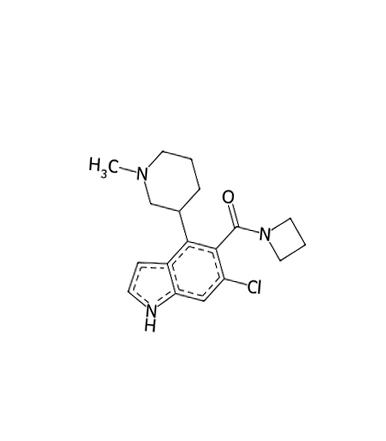 CN1CCCC(c2c(C(=O)N3CCC3)c(Cl)cc3[nH]ccc23)C1